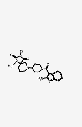 CCN1C(=O)N(C)C2(CCCN(C3CCN(C(=O)c4c(N)sc5ccccc45)CC3)C2)C1=O